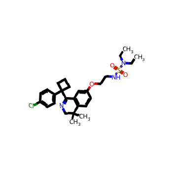 CCN(CC)S(=O)(=O)NCCOc1ccc2c(c1)C(C1(c3ccc(Cl)cc3)CCC1)=NCC2(C)C